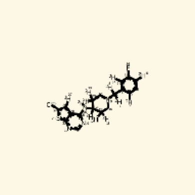 [2H]c1cc([2H])c(C([2H])([2H])N2CC([2H])([2H])C([2H])(N([2H])c3ncnc4sc(Cl)c([2H])c34)C([2H])([2H])C2)c([2H])c1F